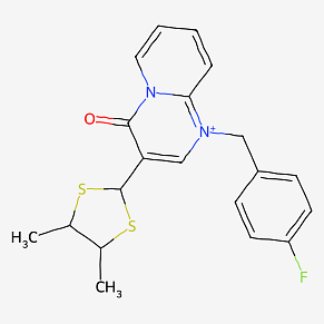 CC1SC(c2c[n+](Cc3ccc(F)cc3)c3ccccn3c2=O)SC1C